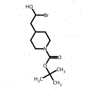 CC(C)(C)OC(=O)N1CCC(CC(O)Br)CC1